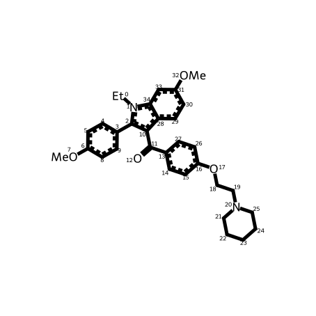 CCn1c(-c2ccc(OC)cc2)c(C(=O)c2ccc(OCCN3CCCCC3)cc2)c2ccc(OC)cc21